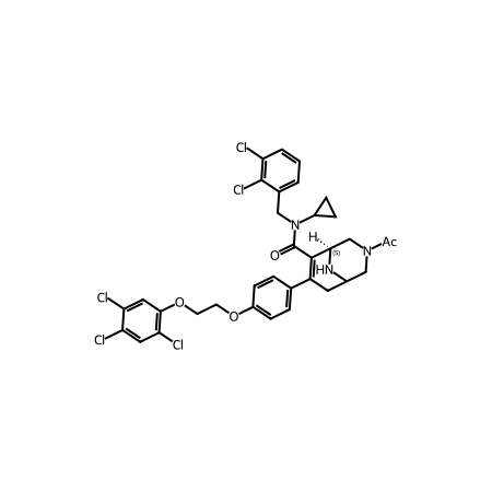 CC(=O)N1CC2CC(c3ccc(OCCOc4cc(Cl)c(Cl)cc4Cl)cc3)=C(C(=O)N(Cc3cccc(Cl)c3Cl)C3CC3)[C@@H](C1)N2